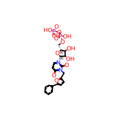 O=c1ccn([C@@H]2O[C@H](COP(=O)(O)OP(=O)(O)O)C(O)C2O)c(=O)n1Cc1ccc(-c2ccccc2)o1